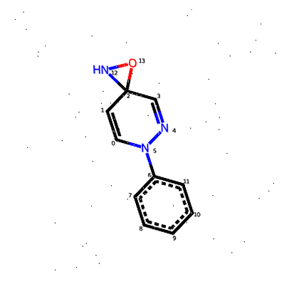 C1=CC2(C=NN1c1ccccc1)NO2